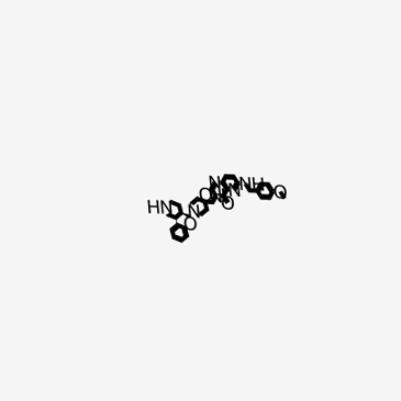 COc1ccc(CNc2ccc3ncn(CC4(O)CCN(C(=O)[C@@H]5CCNC[C@H]5c5ccccc5)CC4)c(=O)c3n2)cc1